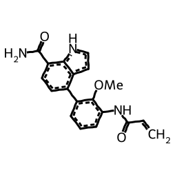 C=CC(=O)Nc1cccc(-c2ccc(C(N)=O)c3[nH]ccc23)c1OC